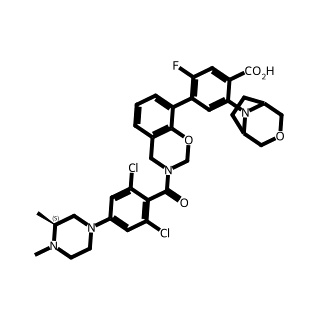 C[C@H]1CN(c2cc(Cl)c(C(=O)N3COc4c(cccc4-c4cc(N5C6CCC5COC6)c(C(=O)O)cc4F)C3)c(Cl)c2)CCN1C